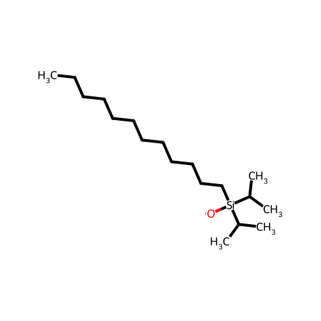 CCCCCCCCCCCC[Si]([O])(C(C)C)C(C)C